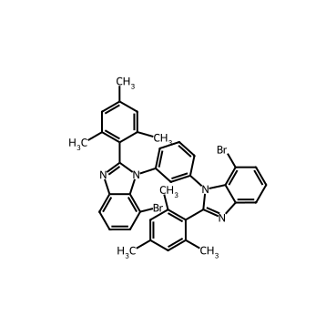 Cc1cc(C)c(-c2nc3cccc(Br)c3n2-c2cccc(-n3c(-c4c(C)cc(C)cc4C)nc4cccc(Br)c43)c2)c(C)c1